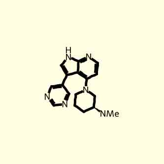 CN[C@H]1CCCN(c2ccnc3[nH]cc(-c4cncnc4)c23)C1